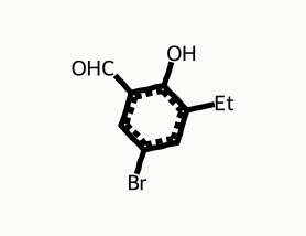 CCc1cc(Br)cc(C=O)c1O